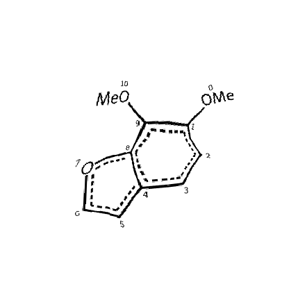 COc1ccc2ccoc2c1OC